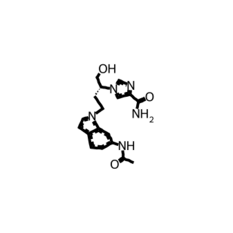 CC(=O)Nc1ccc2ccn(CC[C@H](CO)n3cnc(C(N)=O)c3)c2c1